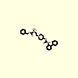 CN(CCN1CCC(OC(=O)Nc2ccccc2-c2ccccc2)CC1)C(=O)OCc1ccccc1